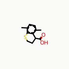 Cc1ccc(C)c2c1SCCC2C(=O)O